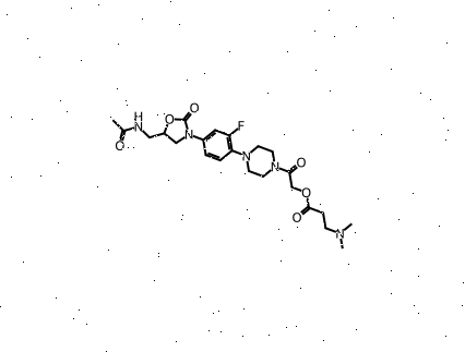 CC(=O)NCC1CN(c2ccc(N3CCN(C(=O)COC(=O)CCN(C)C)CC3)c(F)c2)C(=O)O1